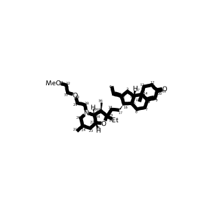 C/C=C1\C[C@H]2C(CCC3=CC(=O)CCC32C)[C@@H]1CCC1(CC)O[C@@H]2CC(C)CN(CCOCCOC)[C@H]2[C@H]1C